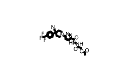 CC(=O)OCC(=O)NNC(=O)c1ccc(N2CCC(C#N)(c3ccc(C(F)(F)F)cc3)CC2)nn1